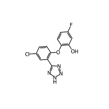 Oc1cc(F)ccc1Oc1ccc(Cl)cc1-c1nn[nH]n1